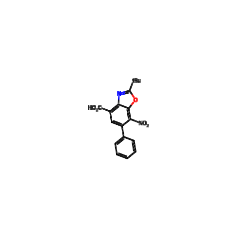 CC(C)(C)c1nc2c(C(=O)O)cc(-c3ccccc3)c([N+](=O)[O-])c2o1